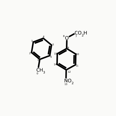 Cc1ccccc1.O=C(O)Oc1ccc([N+](=O)[O-])cc1